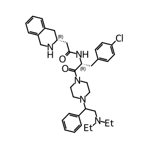 CCN(CC)CC(c1ccccc1)N1CCN(C(=O)[C@@H](Cc2ccc(Cl)cc2)NC(=O)C[C@H]2Cc3ccccc3CN2)CC1